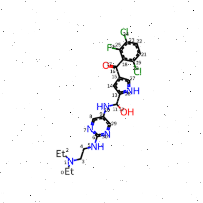 CCN(CC)CCNc1ncc(NC(O)c2cc(C(=O)c3c(Cl)ccc(Cl)c3F)c[nH]2)cn1